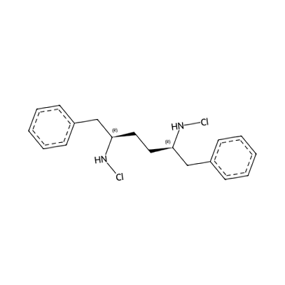 ClN[C@H](CC[C@H](Cc1ccccc1)NCl)Cc1ccccc1